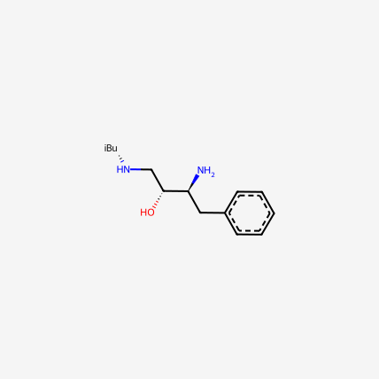 CC[C@@H](C)NC[C@@H](O)[C@@H](N)Cc1ccccc1